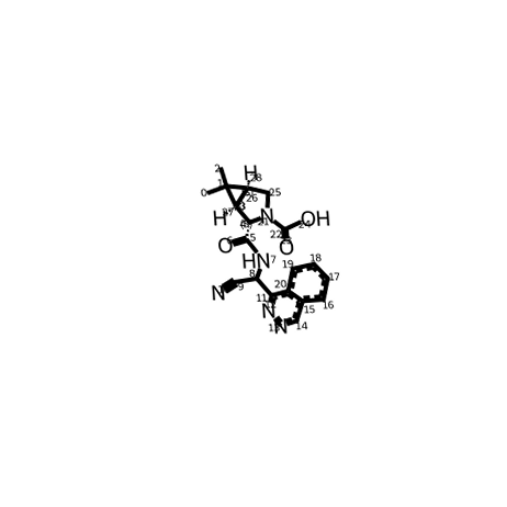 CC1(C)[C@@H]2[C@@H](C(=O)NC(C#N)c3nncc4ccccc34)N(C(=O)O)C[C@@H]21